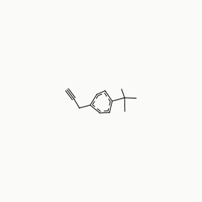 C#CCc1ccc(C(C)(C)C)cc1